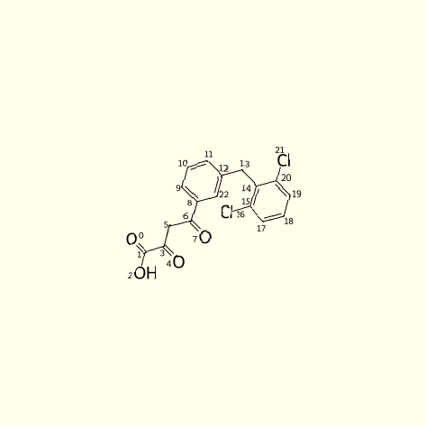 O=C(O)C(=O)CC(=O)c1cccc(Cc2c(Cl)cccc2Cl)c1